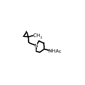 CC(=O)NC1CCN(CC2(C)CC2)CC1